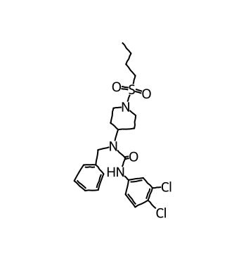 CCCCS(=O)(=O)N1CCC(N(Cc2ccccc2)C(=O)Nc2ccc(Cl)c(Cl)c2)CC1